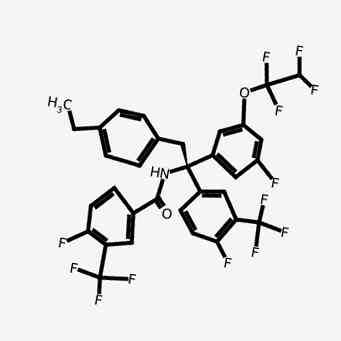 CCc1ccc(C[C@@](NC(=O)c2ccc(F)c(C(F)(F)F)c2)(c2cc(F)cc(OC(F)(F)C(F)F)c2)c2ccc(F)c(C(F)(F)F)c2)cc1